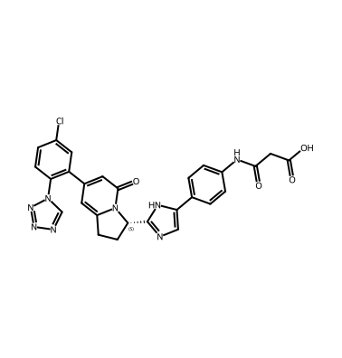 O=C(O)CC(=O)Nc1ccc(-c2cnc([C@@H]3CCc4cc(-c5cc(Cl)ccc5-n5cnnn5)cc(=O)n43)[nH]2)cc1